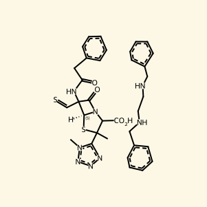 Cn1nnnc1C1(C)S[C@@H]2N(C(=O)C2(C=S)NC(=O)Cc2ccccc2)C1C(=O)O.c1ccc(CNCCNCc2ccccc2)cc1